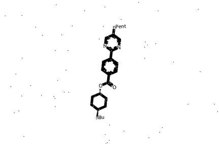 CCCCCc1cnc(-c2ccc(C(=O)O[C@H]3CC[C@H](CCCC)CC3)cc2)nc1